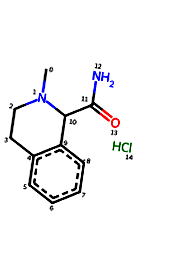 CN1CCc2ccc[c]c2C1C(N)=O.Cl